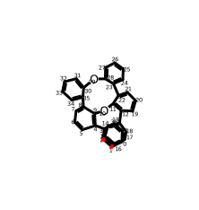 c1ccc(-c2cccc3c2Oc2c(-c4ccccc4)cccc2-c2ccccc2Oc2ccccc2-3)cc1